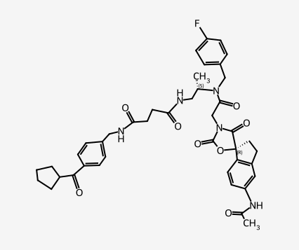 CC(=O)Nc1ccc2c(c1)CC[C@@]21OC(=O)N(CC(=O)N(Cc2ccc(F)cc2)[C@@H](C)CNC(=O)CCC(=O)NCc2ccc(C(=O)C3CCCC3)cc2)C1=O